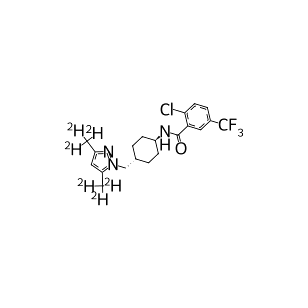 [2H]C([2H])([2H])c1cc(C([2H])([2H])[2H])n(C[C@H]2CC[C@H](NC(=O)c3cc(C(F)(F)F)ccc3Cl)CC2)n1